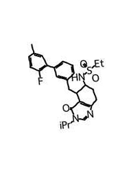 CCS(=O)(=O)NC1CCc2ncn(C(C)C)c(=O)c2C1Cc1cccc(-c2cc(C)ccc2F)c1